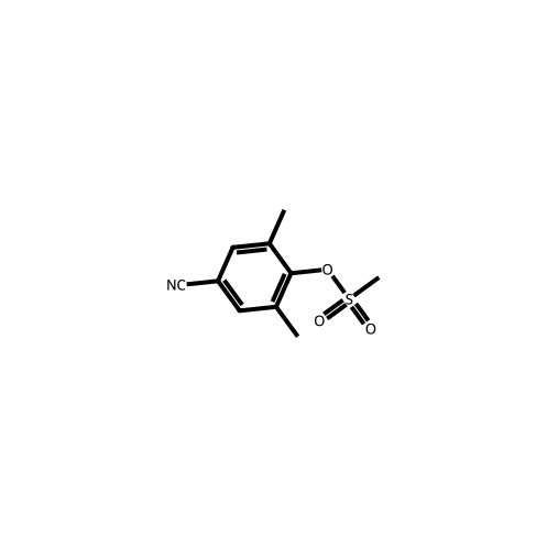 Cc1cc(C#N)cc(C)c1OS(C)(=O)=O